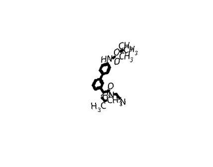 CC(C)C[C@@H](C(=O)NCC#N)c1cccc(-c2ccc(NC(=O)OC(C)(C)C)cc2)c1